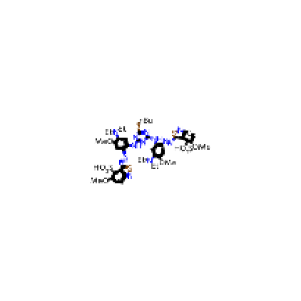 CCCCSc1nc(Nc2cc(N(CC)CC)c(OC)cc2/N=N/c2snc3ccc(OC)c(S(=O)(=O)O)c23)nc(Nc2cc(N(CC)CC)c(OC)cc2/N=N/c2snc3ccc(OC)c(S(=O)(=O)O)c23)n1